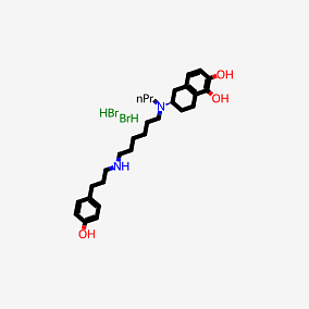 Br.Br.CCCN(CCCCCCNCCCc1ccc(O)cc1)[C@H]1CCc2c(ccc(O)c2O)C1